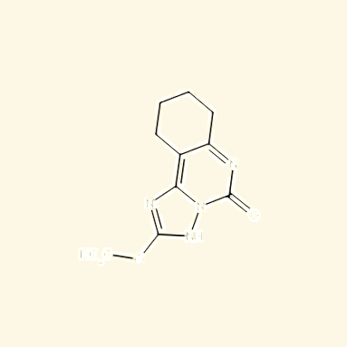 O=C(O)Oc1nc2c3c(nc(=O)n2[nH]1)CCCC3